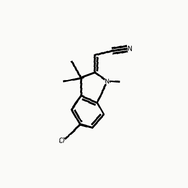 CN1/C(=C\C#N)C(C)(C)c2cc(Cl)ccc21